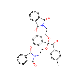 Cc1ccc(C(=O)C(OCCN2C(=O)c3ccccc3C2=O)(OCCN2C(=O)c3ccccc3C2=O)c2ccccc2)cc1